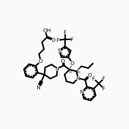 CCC[C@H]1N(C(=O)c2ncccc2C(F)(F)F)CCC[C@@]1(Oc1csc(C(F)(F)F)c1)C(=O)N1CCC(C#N)(c2ccccc2OCCCC(=O)O)CC1